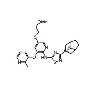 COCCSc1cnc(Nc2nc(C3CC4CCC(C3)N4C(C)=O)ns2)c(Oc2cccnc2C)c1